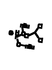 CCCCO[PH](=O)OCCCC.ClC(Cl)Cl